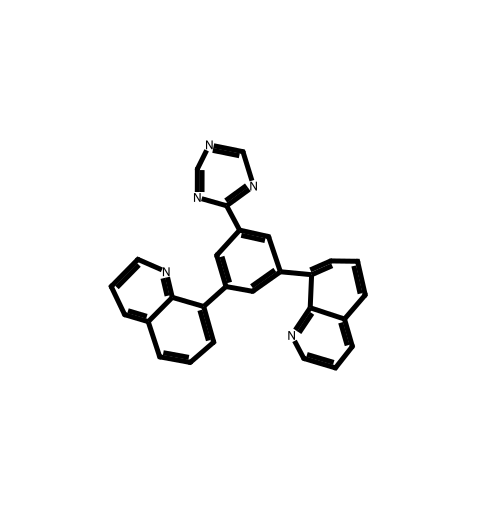 c1cnc2c(-c3cc(-c4ncncn4)cc(-c4cccc5cccnc45)c3)cccc2c1